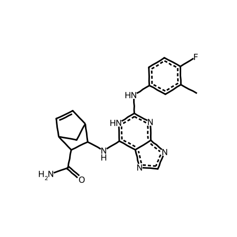 Cc1cc(Nc2nc3ncnc-3c(NC3C4C=CC(C4)C3C(N)=O)[nH]2)ccc1F